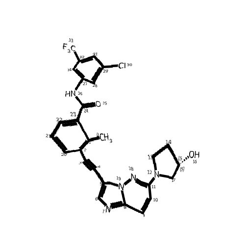 Cc1c(C#Cc2cnc3ccc(N4CC[C@H](O)C4)nn23)cccc1C(=O)Nc1cc(Cl)cc(C(F)(F)F)c1